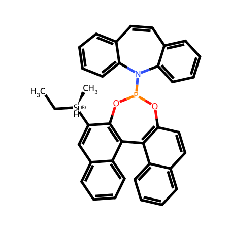 CC[Si@@H](C)c1cc2ccccc2c2c1op(N1c3ccccc3C=Cc3ccccc31)oc1ccc3ccccc3c12